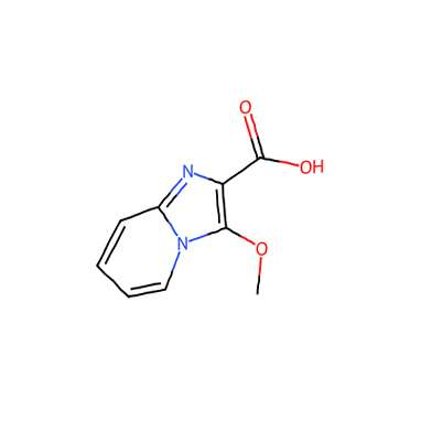 COc1c(C(=O)O)nc2ccccn12